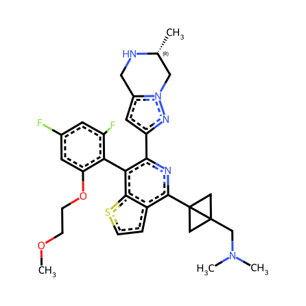 COCCOc1cc(F)cc(F)c1-c1c(-c2cc3n(n2)C[C@@H](C)NC3)nc(C23CC2(CN(C)C)C3)c2ccsc12